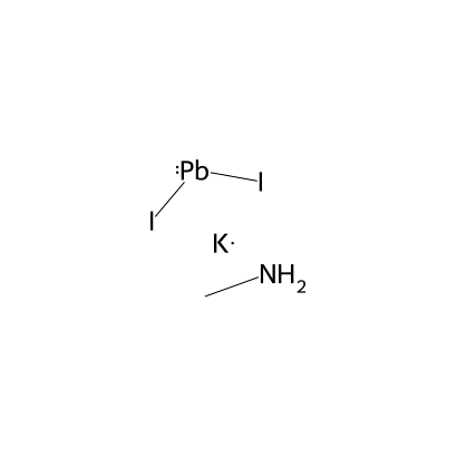 CN.[I][Pb][I].[K]